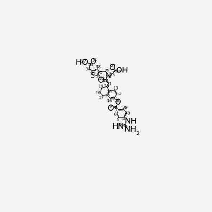 N=C(N)Nc1ccc(C(=O)Oc2ccc3c(c2)CCCC3CC(=O)N(CC(=O)O)Cc2csc(CC(=O)O)c2)cc1